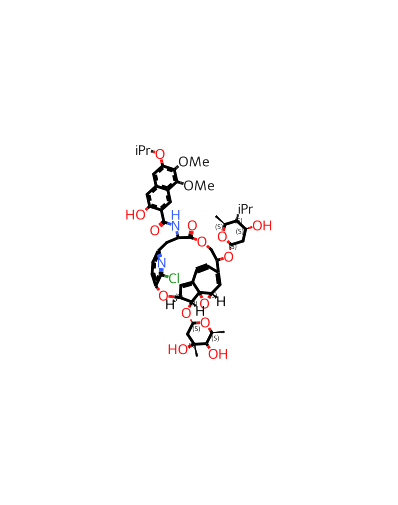 COc1c(OC(C)C)cc2cc(O)c(C(=O)NC3Cc4ccc(c(Cl)n4)O[C@H]4C=C5C#CC(=C[C@@H]6OC56[C@@H]4O[C@H]4C[C@@](C)(O)C(O)[C@H](C)O4)C(O[C@H]4C[C@H](O)[C@H](C(C)C)[C@H](C)O4)COC3=O)cc2c1OC